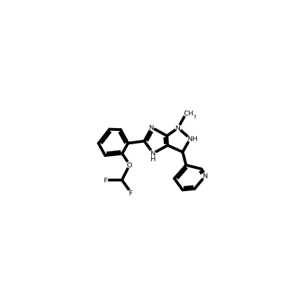 CN1NC(c2cccnc2)c2[nH]c(-c3ccccc3OC(F)F)nc21